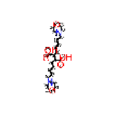 O=C(O)/C(CCCCCN1CCOCC1)=C(\CCCCCN1CCOCC1)C(=O)O